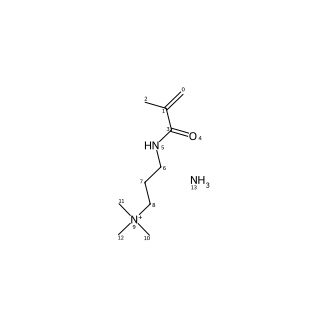 C=C(C)C(=O)NCCC[N+](C)(C)C.N